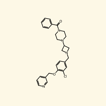 O=C(c1ccccc1)N1CCN(C2CN(Cc3ccc(OCc4cccnc4)c(Cl)c3)C2)CC1